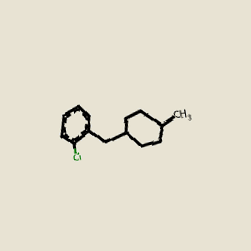 CC1CCC(Cc2ccccc2Cl)CC1